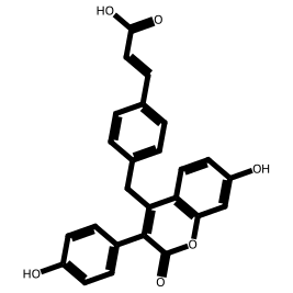 O=C(O)/C=C/c1ccc(Cc2c(-c3ccc(O)cc3)c(=O)oc3cc(O)ccc23)cc1